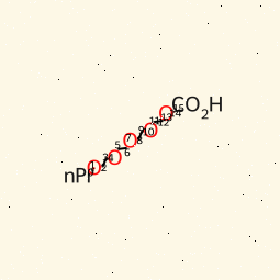 CCCOCCOCCOCCOCCOCC(=O)O